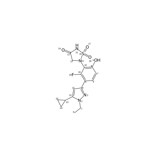 CCn1nc(-c2ccc(O)c(N3CC(=O)NS3(=O)=O)c2F)cc1C1CC1